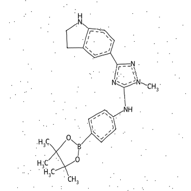 Cn1nc(-c2ccc3c(c2)CCN3)nc1Nc1ccc(B2OC(C)(C)C(C)(C)O2)cc1